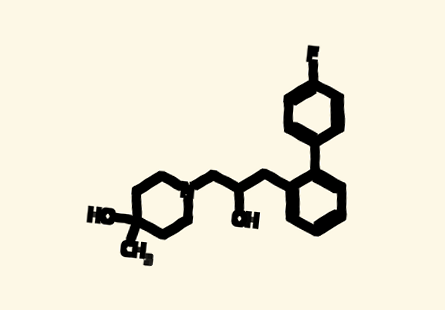 CC1(O)CCN(CC(O)Cc2ccccc2-c2ccc(F)cc2)CC1